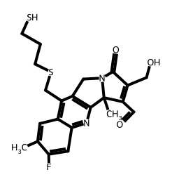 Cc1cc2c(CSCCCS)c3c(nc2cc1F)C1(C)C(C=O)=C(CO)C(=O)N1C3